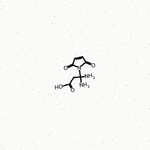 NC(N)(CC(=O)O)N1C(=O)C=CC1=O